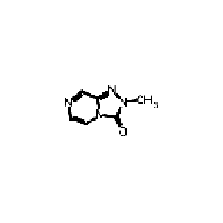 Cn1nc2cnccn2c1=O